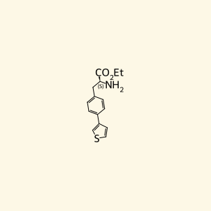 CCOC(=O)[C@@H](N)Cc1ccc(-c2ccsc2)cc1